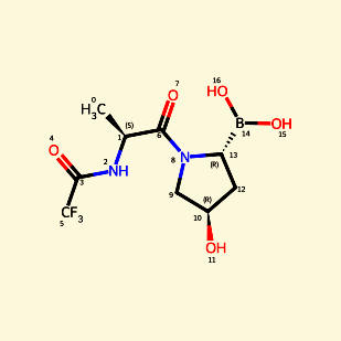 C[C@H](NC(=O)C(F)(F)F)C(=O)N1C[C@H](O)C[C@H]1B(O)O